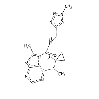 Cc1oc2ncnc(N(C)C3(C)CC3)c2c1C(=O)NCc1nnn(C)n1